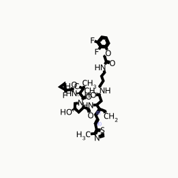 C=C/C(=C\C=C\c1scnc1C)C(CC(O)NCCCCNC(=O)COc1cccc(F)c1F)NC(=O)C1C[C@@H](O)CN1C(=O)[C@@H](NC(=O)C1(F)CC1)C(C)(C)C